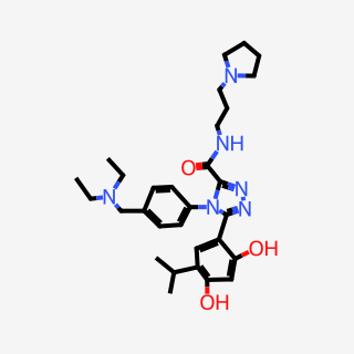 CCN(CC)Cc1ccc(-n2c(C(=O)NCCCN3CCCC3)nnc2-c2cc(C(C)C)c(O)cc2O)cc1